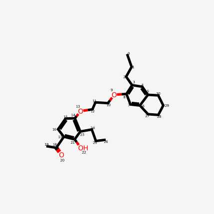 CCCc1cc2c(cc1OCCCOc1ccc(C(C)=O)c(O)c1CCC)CCCC2